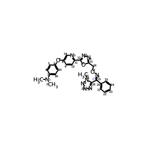 CN(C)c1ccc(Oc2ccc(-c3nnc(CO/N=C(/c4ccccc4)c4nnnn4C)o3)nc2)cc1